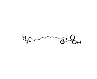 CCCCCCCCCCCCCC[S+]([O-])CCC(=O)O